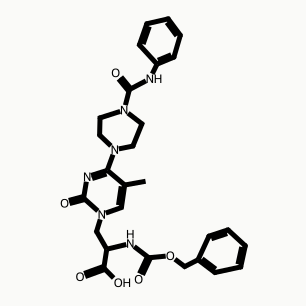 Cc1cn(CC(NC(=O)OCc2ccccc2)C(=O)O)c(=O)nc1N1CCN(C(=O)Nc2ccccc2)CC1